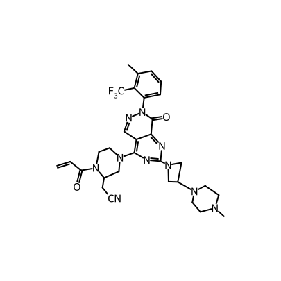 C=CC(=O)N1CCN(c2nc(N3CC(N4CCN(C)CC4)C3)nc3c(=O)n(-c4cccc(C)c4C(F)(F)F)ncc23)CC1CC#N